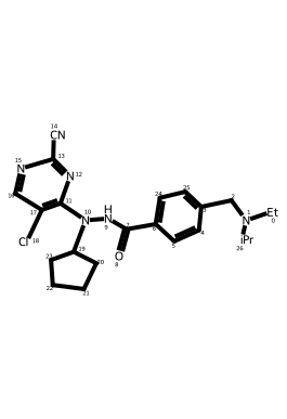 CCN(Cc1ccc(C(=O)NN(c2nc(C#N)ncc2Cl)C2CCCC2)cc1)C(C)C